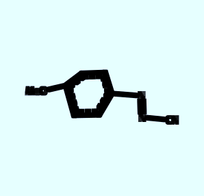 COc1ccc(N=NC#N)cc1